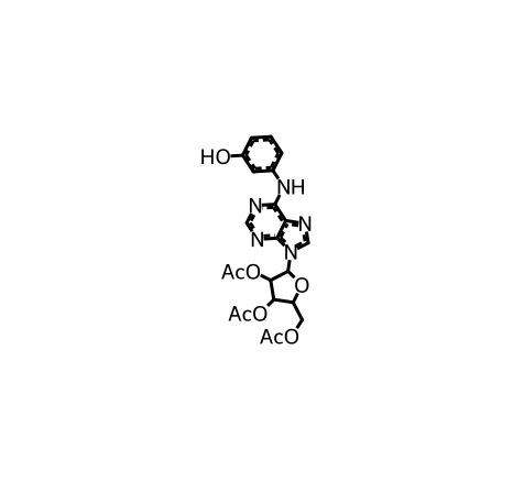 CC(=O)OCC1OC(n2cnc3c(Nc4cccc(O)c4)ncnc32)C(OC(C)=O)C1OC(C)=O